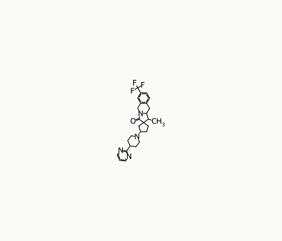 CC1C2Cc3ccc(C(F)(F)F)cc3CN2C(=O)C12CCC(N1CCC(c3ncccn3)CC1)C2